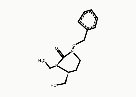 CCN1C(=O)N(OCc2ccccc2)CC[C@H]1CO